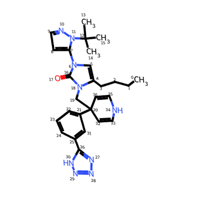 CCCCc1cn(-c2ccnn2C(C)(C)C)c(=O)n1CC1(c2cccc(-c3nnn[nH]3)c2)C=CNC=C1